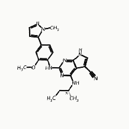 CC[C@@H](C)Nc1nc(Nc2ccc(-c3ccnn3C)cc2OC)nc2[nH]cc(C#N)c12